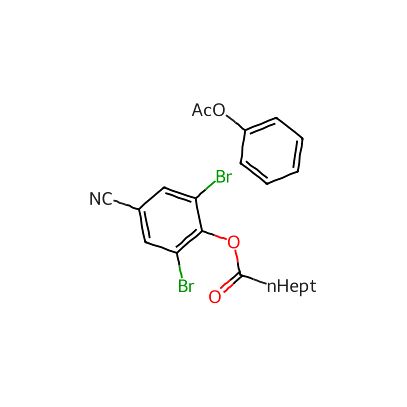 CC(=O)Oc1ccccc1.CCCCCCCC(=O)Oc1c(Br)cc(C#N)cc1Br